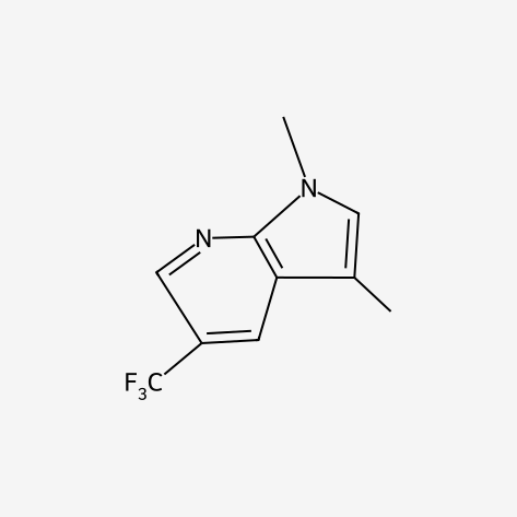 Cc1cn(C)c2ncc(C(F)(F)F)cc12